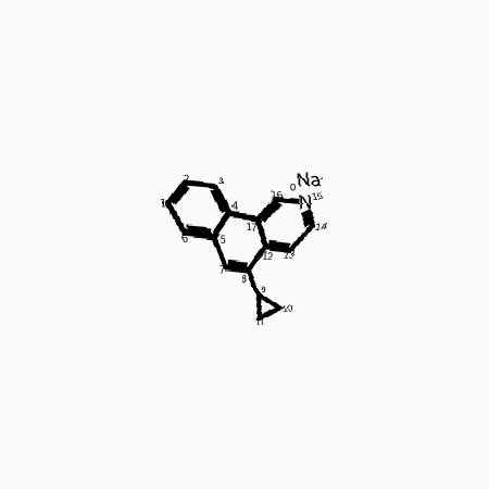 [Na].c1ccc2c(c1)cc(C1CC1)c1ccncc12